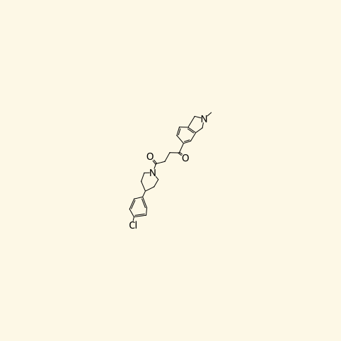 CN1Cc2ccc(C(=O)CCC(=O)N3CCC(c4ccc(Cl)cc4)CC3)cc2C1